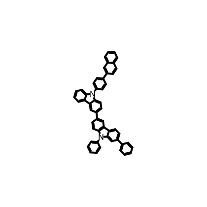 c1ccc(-c2ccc3c4cc(-c5ccc6c(c5)c5ccccc5n6-c5ccc(-c6ccc7ccccc7c6)cc5)ccc4n(-c4ccccc4)c3c2)cc1